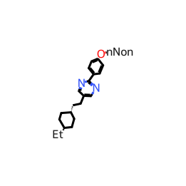 CCCCCCCCCOc1ccc(-c2ncc(CC[C@H]3CC[C@H](CC)CC3)cn2)cc1